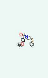 CC(C(=O)c1ccc(O[Si](C)(C)C(C)(C)C)cc1)N1CCC(Sc2ccccc2)CC1